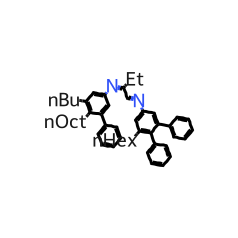 CCCCCCCCc1c(CCCC)cc(N=C(C=Nc2cc(CCCCCC)c(-c3ccccc3)c(-c3ccccc3)c2)CC)cc1-c1ccccc1